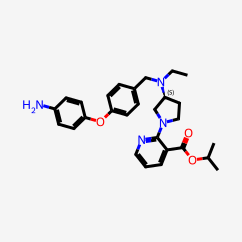 CCN(Cc1ccc(Oc2ccc(N)cc2)cc1)[C@H]1CCN(c2ncccc2C(=O)OC(C)C)C1